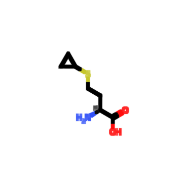 N[C@@H](CCSC1CC1)C(=O)O